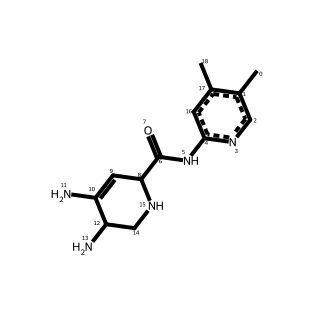 Cc1cnc(NC(=O)C2C=C(N)C(N)CN2)cc1C